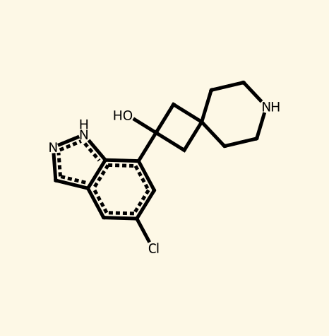 OC1(c2cc(Cl)cc3cn[nH]c23)CC2(CCNCC2)C1